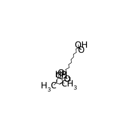 Cc1cc(C)c(C(=O)[PH](=O)CCCCCCCCCCC(=O)O)c(C)c1